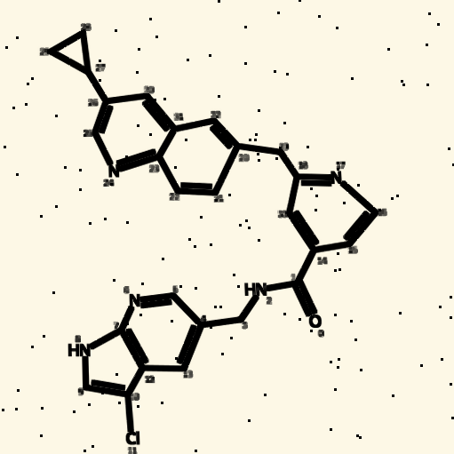 O=C(NCc1cnc2[nH]cc(Cl)c2c1)c1ccnc(Cc2ccc3ncc(C4CC4)cc3c2)c1